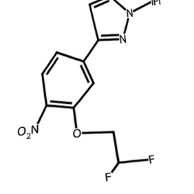 CC(C)n1ccc(-c2ccc([N+](=O)[O-])c(OCC(F)F)c2)n1